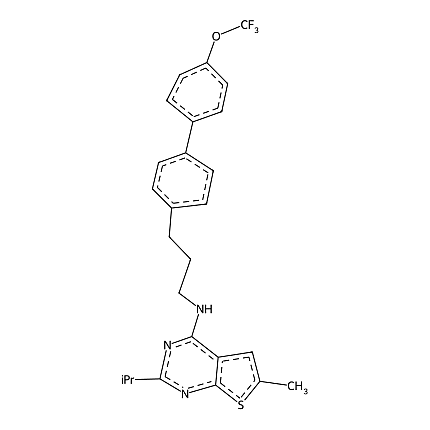 Cc1cc2c(NCCCc3ccc(-c4ccc(OC(F)(F)F)cc4)cc3)nc(C(C)C)nc2s1